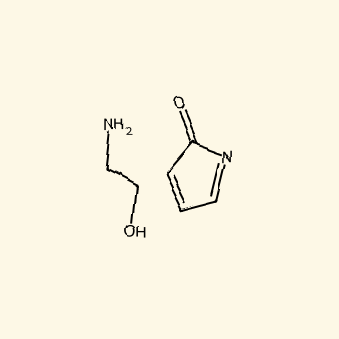 NCCO.O=C1C=CC=N1